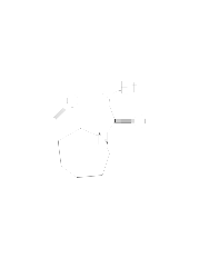 C=O.CCSC(=O)N1CCCCCC1